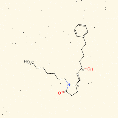 O=C(O)CCCCCCN1C(=O)CC[C@@H]1C=C[C@@H](O)CCCCc1ccccc1